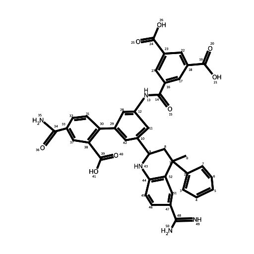 CC1(c2ccccc2)CC(c2cc(NC(=O)c3cc(C(=O)O)cc(C(=O)O)c3)cc(-c3ccc(C(N)=O)cc3C(=O)O)c2)Nc2ccc(C(=N)N)cc21